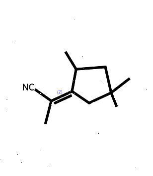 C/C(C#N)=C1\CC(C)(C)CC1C